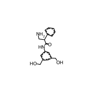 NCC(C(=O)Nc1cc(CO)cc(CO)c1)c1ccccc1